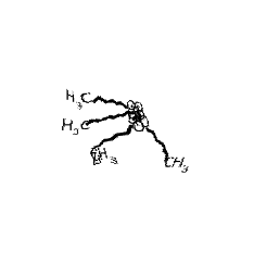 CCCCCCCCOP(=O)(OCCCCCCCC)OP(=O)(OCCCCCCCC)OCCCCCCCC.[Zr]